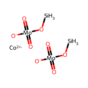 [Co+2].[O]=[Mo](=[O])([O-])[O][SiH3].[O]=[Mo](=[O])([O-])[O][SiH3]